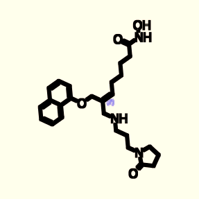 O=C(CCCC/C=C(/CNCCCN1CCCC1=O)COc1cccc2ccccc12)NO